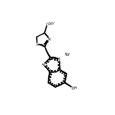 O=C([O-])C1CSC(c2nc3ccc(O)cc3s2)=N1.[Na+]